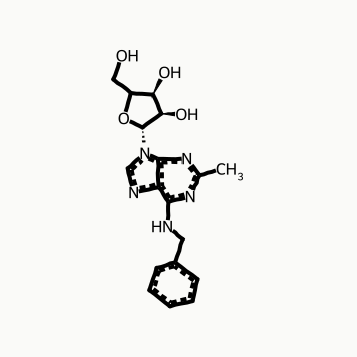 Cc1nc(NCc2ccccc2)c2ncn([C@@H]3OC(CO)[C@@H](O)[C@H]3O)c2n1